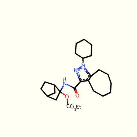 CCOC(=O)OC1(NC(=O)c2nn(C3CCCCC3)c3c2CCCCCC3)CC2CCC1C2